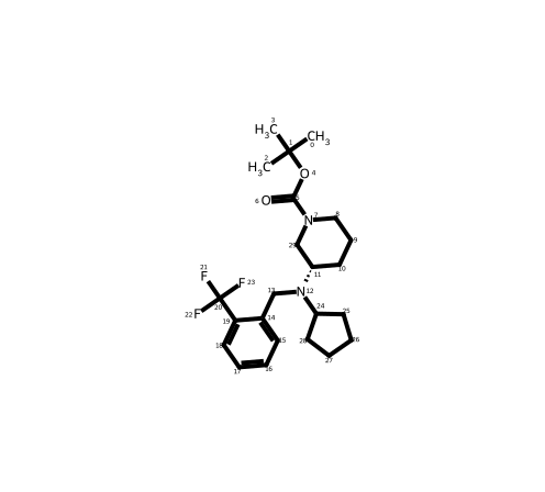 CC(C)(C)OC(=O)N1CCC[C@H](N(Cc2ccccc2C(F)(F)F)C2CCCC2)C1